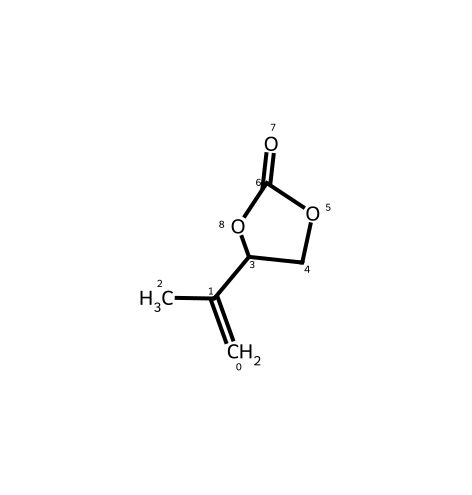 C=C(C)C1COC(=O)O1